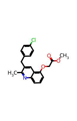 COC(=O)COc1cccc2nc(C)c(Cc3ccc(Cl)cc3)cc12